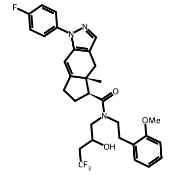 COc1ccccc1CCN(CC(O)CC(F)(F)F)C(=O)[C@H]1CCC2=Cc3c(cnn3-c3ccc(F)cc3)C[C@@]21C